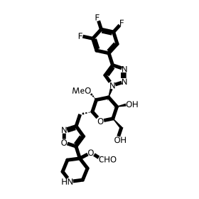 CO[C@@H]1[C@@H](n2cc(-c3cc(F)c(F)c(F)c3)nn2)[C@@H](O)[C@@H](CO)O[C@@H]1Cc1cc(C2(OC=O)CCNCC2)on1